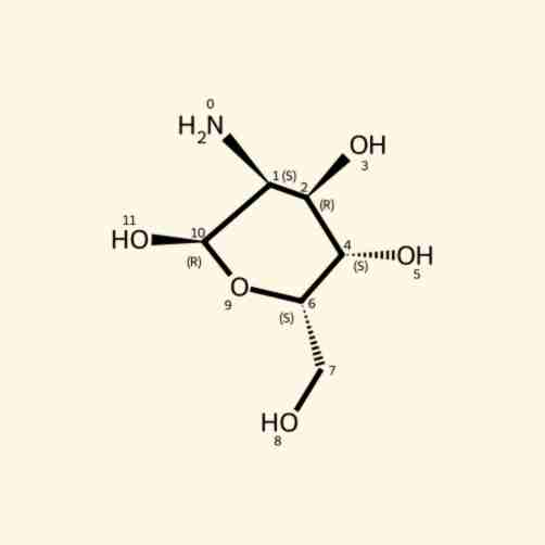 N[C@H]1[C@@H](O)[C@H](O)[C@H](CO)O[C@H]1O